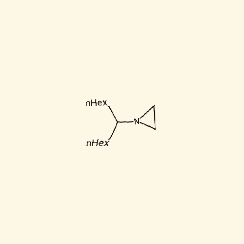 CCCCCCC(CCCCCC)N1CC1